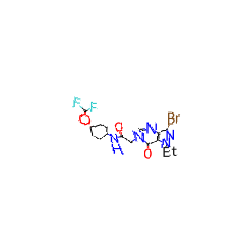 CCn1nc(Br)c2ncn(CC(=O)NC3CCC(OC(F)F)CC3)c(=O)c21